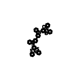 c1ccc2c(c1)Oc1cc(-n3c4ccccc4c4cc(-c5ccc6c(c5)c5ccccc5n6-c5cc6c7c(c5)Sc5ccccc5N7c5ccccc5S6)ccc43)cc3c1N2c1ccccc1O3